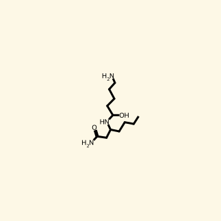 CCCCC(CC(N)=O)NC(O)CCCCN